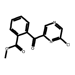 COC(=O)c1ccccc1C(=O)c1cncc(Cl)n1